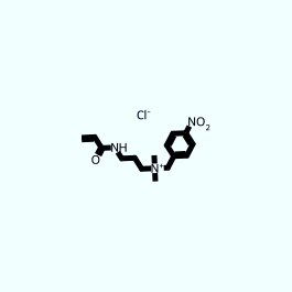 C=CC(=O)NCCC[N+](C)(C)Cc1ccc([N+](=O)[O-])cc1.[Cl-]